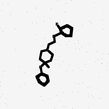 CC1(Oc2ccccc2)CCN(CCOc2ccccc2F)CC1